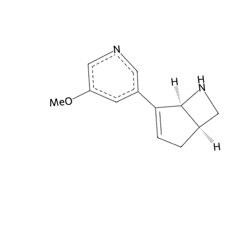 COc1cncc(C2=CC[C@@H]3CN[C@H]23)c1